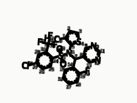 Cc1ccsc1N(C(c1cncnc1)c1ccccc1F)S(=O)(=O)c1ccc(Cl)cc1C(F)(F)F